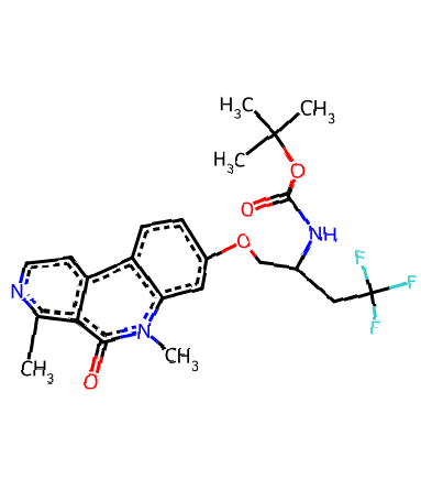 Cc1nccc2c1c(=O)n(C)c1cc(OCC(CC(F)(F)F)NC(=O)OC(C)(C)C)ccc21